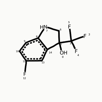 OC1(C(F)(F)F)CNc2ccc(F)cc21